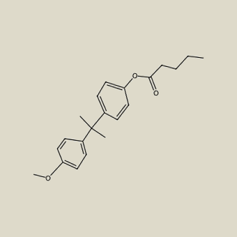 CCCCC(=O)Oc1ccc(C(C)(C)c2ccc(OC)cc2)cc1